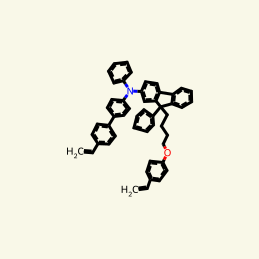 C=Cc1ccc(OCCCCC2(c3ccccc3)c3ccccc3-c3ccc(N(c4ccccc4)c4ccc(-c5ccc(C=C)cc5)cc4)cc32)cc1